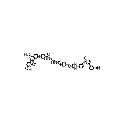 Cc1nn(C2CCC(=O)NC2=O)c(=O)c2cc(N3CCC(C(=O)NCCCNC(=O)CN4CCC(COc5cnc(-c6cccc(Cn7nc(-c8cccc(C#N)c8)ccc7=O)c6)nc5)CC4)CC3)ccc12